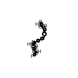 O=C1CCC(N2Cc3cc(N4CCCC(CN5CCC(c6ccc(-c7cnc8[nH]cc(C(=O)c9c(F)ccc(NS(=O)(=O)N%10CC[C@@H](F)C%10)c9F)c8c7)cc6)CC5)CCC4)ccc3C2=O)C(=O)N1